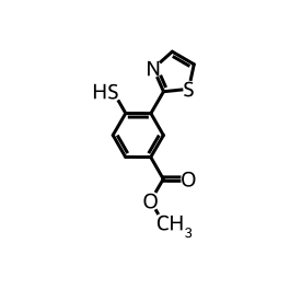 COC(=O)c1ccc(S)c(-c2nccs2)c1